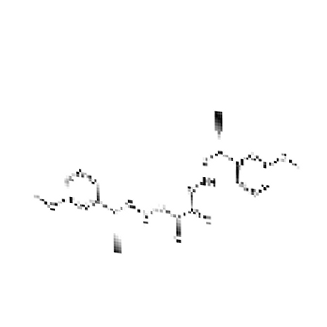 C#CC(ONOC(=O)C(=O)ONOC(C#C)c1cccc(OC)c1)c1cccc(OC)c1